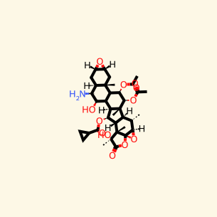 CC(=O)O[C@H]1C2C([C@@H](O)[C@@H](N)[C@H]3C[C@@H]4O[C@@H]4C[C@]23C)[C@@H]2[C@@H](OC(=O)C3CC3)[C@@H]3[C@H]([C@H](C)[C@H]4O[C@]45OC(=O)[C@@](C)(O)[C@]35C)[C@@]2(C)[C@H]1OC(C)=O